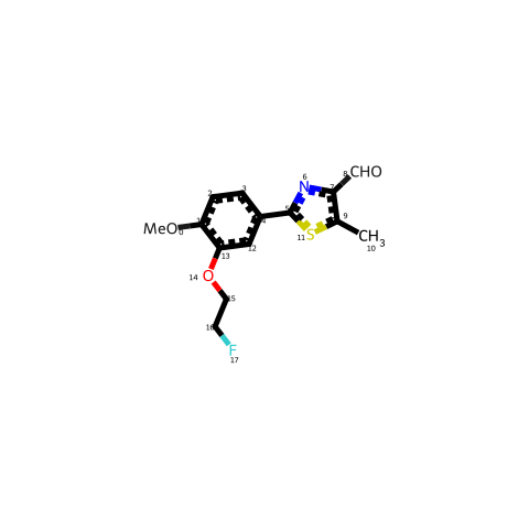 COc1ccc(-c2nc(C=O)c(C)s2)cc1OCCF